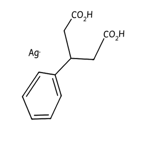 O=C(O)CC(CC(=O)O)c1ccccc1.[Ag]